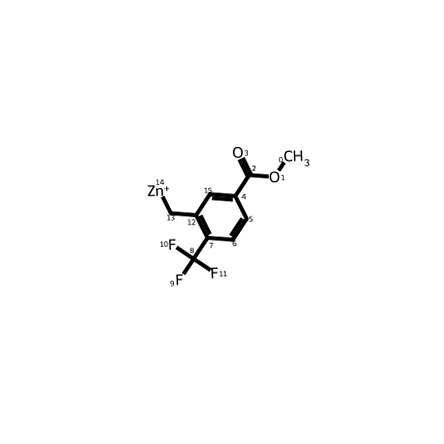 COC(=O)c1ccc(C(F)(F)F)c([CH2][Zn+])c1